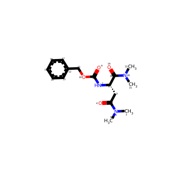 CN(C)C(=O)C[C@H](NC(=O)OCc1ccccc1)C(=O)N(C)C